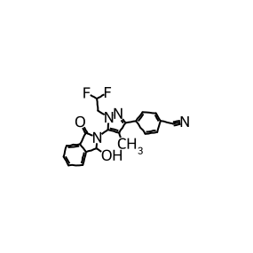 Cc1c(-c2ccc(C#N)cc2)nn(CC(F)F)c1N1C(=O)c2ccccc2C1O